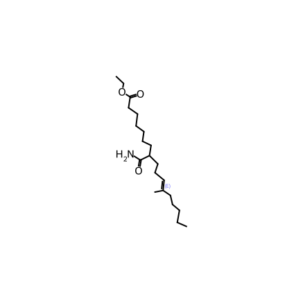 CCCCC/C(C)=C/CCC(CCCCCCC(=O)OCC)C(N)=O